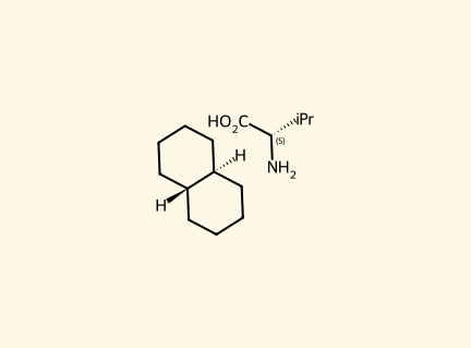 C1CC[C@H]2CCCC[C@@H]2C1.CC(C)[C@H](N)C(=O)O